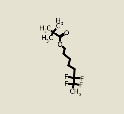 CC(C)(C)C(=O)OCCCCCC(F)(F)C(C)(F)F